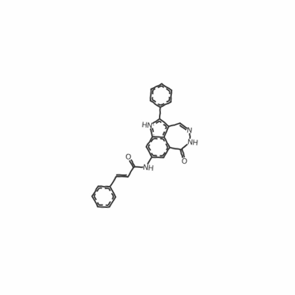 O=C(C=Cc1ccccc1)Nc1cc2c3c(c(-c4ccccc4)[nH]c3c1)C=NNC2=O